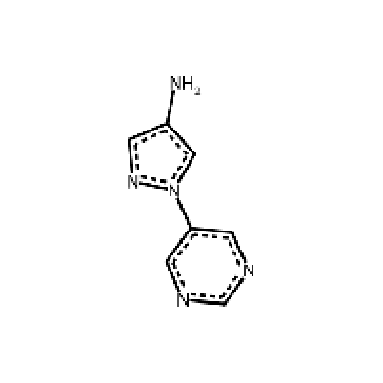 Nc1cnn(-c2cncnc2)c1